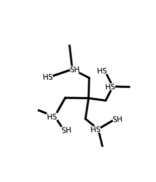 C[SH](S)CC(C[SH](C)S)(C[SH](C)S)C[SH](C)S